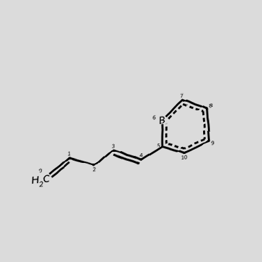 C=CCC=Cc1bcccc1